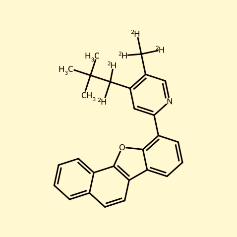 [2H]C([2H])([2H])c1cnc(-c2cccc3c2oc2c4ccccc4ccc32)cc1C([2H])([2H])C(C)(C)C